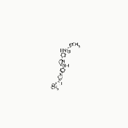 COCCC(=O)Nc1ccc(-c2ccnc(Nc3ccc(N4CCN(C(=O)CCOC)CC4)cc3)n2)cc1